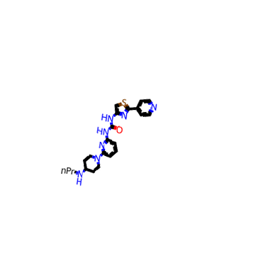 CCCNC1CCN(c2cccc(NC(=O)Nc3csc(-c4ccncc4)n3)n2)CC1